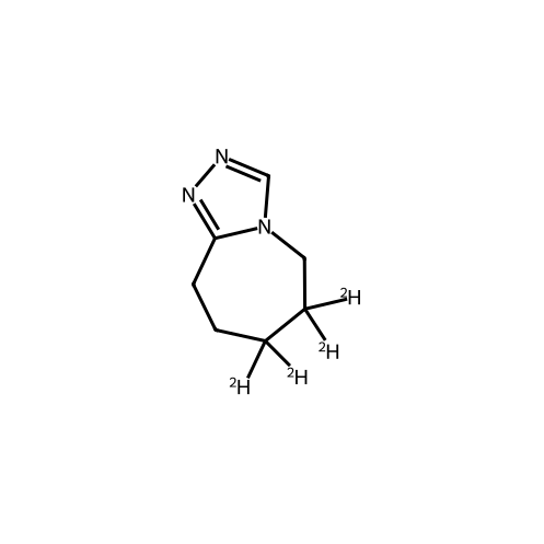 [2H]C1([2H])CCc2nncn2CC1([2H])[2H]